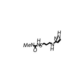 CNC(=O)NSCCCNc1cc[nH]n1